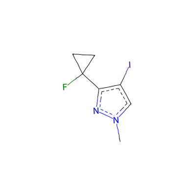 Cn1cc(I)c(C2(F)CC2)n1